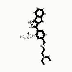 CCN(CC)CCNCc1ccc(-c2n[nH]c3c2Cc2ccccc2-3)cc1.Cl.Cl.Cl